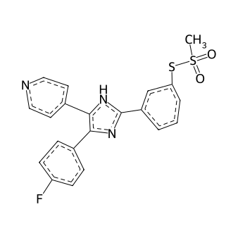 CS(=O)(=O)Sc1cccc(-c2nc(-c3ccc(F)cc3)c(-c3ccncc3)[nH]2)c1